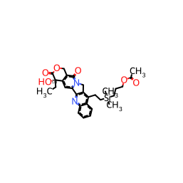 CC[C@@]1(O)C(=O)OCc2c1cc1n(c2=O)Cc2c-1nc1ccccc1c2CC[Si](C)(C)CCCOC(C)=O